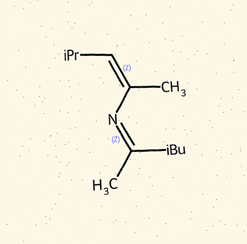 CCC(C)/C(C)=N\C(C)=C/C(C)C